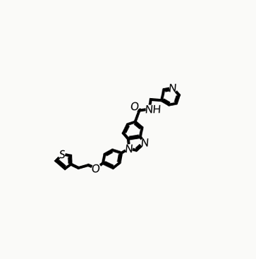 O=C(NCc1cccnc1)c1ccc2c(c1)ncn2-c1ccc(OCCc2ccsc2)cc1